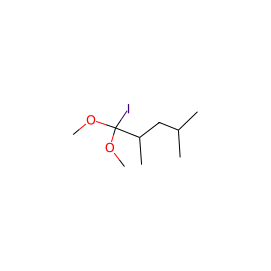 COC(I)(OC)C(C)CC(C)C